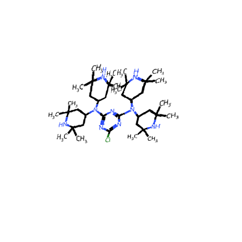 CC1(C)CC(N(c2nc(Cl)nc(N(C3CC(C)(C)NC(C)(C)C3)C3CC(C)(C)NC(C)(C)C3)n2)C2CC(C)(C)NC(C)(C)C2)CC(C)(C)N1